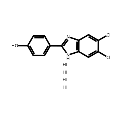 I.I.I.I.Oc1ccc(-c2nc3cc(Cl)c(Cl)cc3[nH]2)cc1